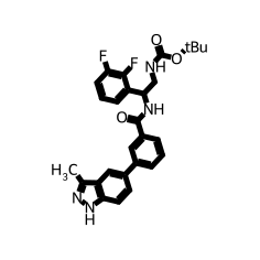 Cc1n[nH]c2ccc(-c3cccc(C(=O)NC(CNC(=O)OC(C)(C)C)c4cccc(F)c4F)c3)cc12